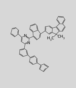 CC1(C)c2cc(-c3ccc(-c4nc(-c5ccccc5)cc(-c5cccc(-c6ccc(-c7ccccc7)cc6)c5)n4)c4ccccc34)ccc2-c2c1ccc1ccccc21